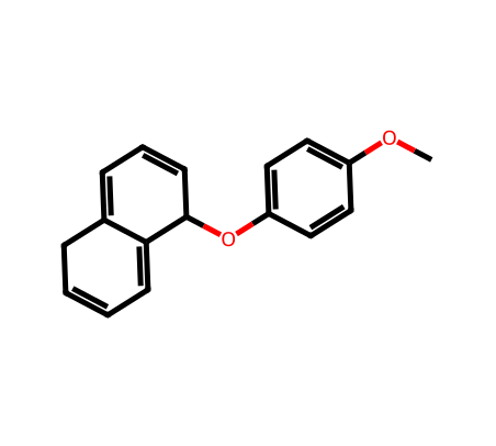 COc1ccc(OC2C=CC=C3CC=CC=C32)cc1